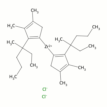 CCCC(C)(CC)C1=[C]([Zr+2][C]2=C(C(C)(CC)CCC)C(C)=C(C)C2)CC(C)=C1C.[Cl-].[Cl-]